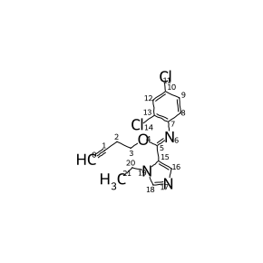 C#CCCOC(=Nc1ccc(Cl)cc1Cl)c1cncn1CC